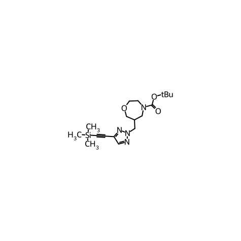 CC(C)(C)OC(=O)N1CCOCC(Cn2ncc(C#C[Si](C)(C)C)n2)C1